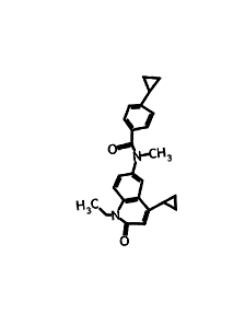 CCn1c(=O)cc(C2CC2)c2cc(N(C)C(=O)c3ccc(C4CC4)cc3)ccc21